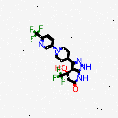 O=C1CC(O)(C(F)(F)F)c2c(C3CCN(c4ccc(C(F)(F)F)nc4)CC3)n[nH]c2N1